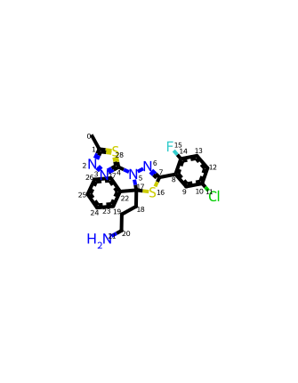 Cc1nnc(N2N=C(c3cc(Cl)ccc3F)SC2(CCCN)c2ccccc2)s1